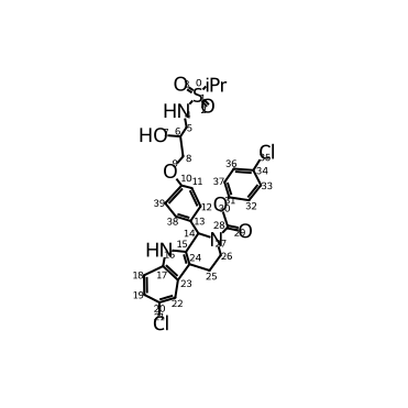 CC(C)S(=O)(=O)NCC(O)COc1ccc(C2c3[nH]c4ccc(Cl)cc4c3CCN2C(=O)Oc2ccc(Cl)cc2)cc1